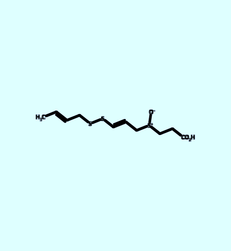 C/C=C/CSS/C=C/C[S+]([O-])CCC(=O)O